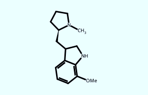 COc1cccc2c1NCC2C[C@H]1CCCN1C